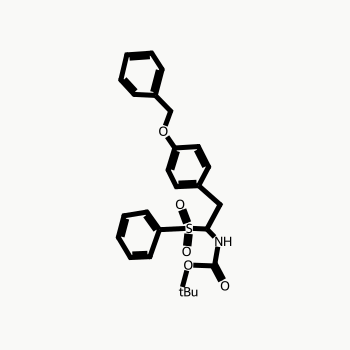 CC(C)(C)OC(=O)NC(Cc1ccc(OCc2ccccc2)cc1)S(=O)(=O)c1ccccc1